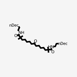 CCCCCCCCCCCCNC(=O)C(C)(C)CCCCCC(=O)CCCCCC(C)(C)C(=O)NCCCCCCCCCCCC